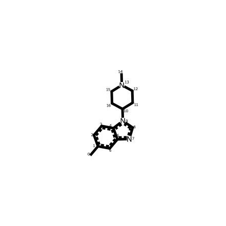 Cc1ccc2c(c1)ncn2C1CCN(C)CC1